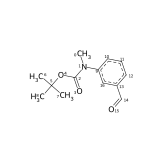 CN(C(=O)OC(C)(C)C)c1cccc(C=O)c1